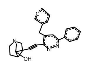 OC1(C#Cc2nnc(-c3ccccc3)cc2Cc2ccccc2)CN2CCC1CC2